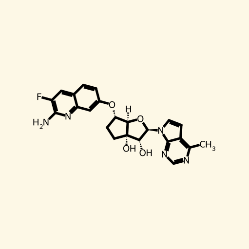 Cc1ncnc2c1ccn2[C@@H]1O[C@@H]2[C@@H](Oc3ccc4cc(F)c(N)nc4c3)CC[C@]2(O)[C@H]1O